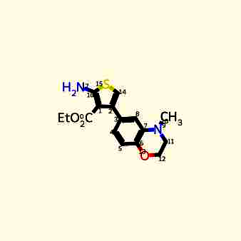 CCOC(=O)c1c(-c2ccc3c(c2)N(C)CCO3)csc1N